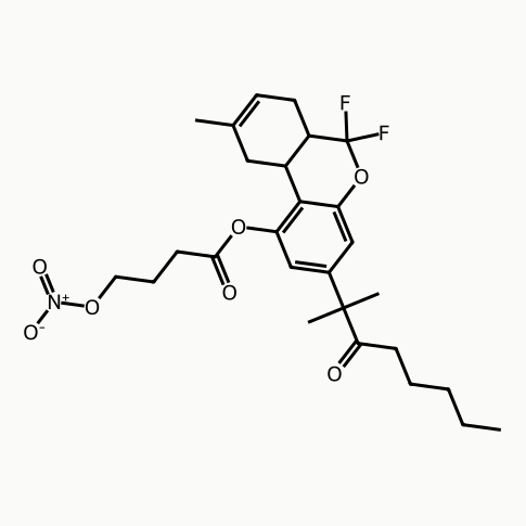 CCCCCC(=O)C(C)(C)c1cc(OC(=O)CCCO[N+](=O)[O-])c2c(c1)OC(F)(F)C1CC=C(C)CC21